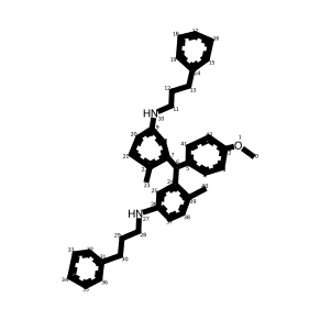 COc1ccc(C(c2cc(NCCCc3ccccc3)ccc2C)c2cc(NCCCc3ccccc3)ccc2C)cc1